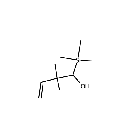 C=CC(C)(C)C(O)[Si](C)(C)C